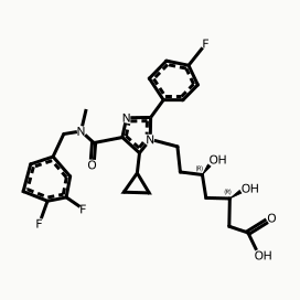 CN(Cc1ccc(F)c(F)c1)C(=O)c1nc(-c2ccc(F)cc2)n(CC[C@@H](O)C[C@@H](O)CC(=O)O)c1C1CC1